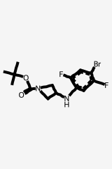 CC(C)(C)OC(=O)N1CC(Nc2cc(F)c(Br)cc2F)C1